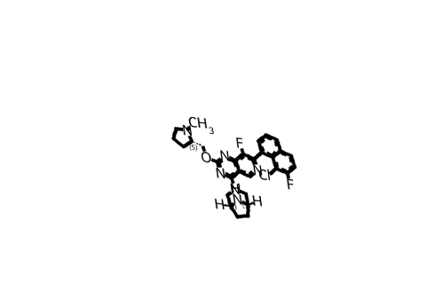 CN1CCC[C@H]1COc1nc(N2C[C@H]3CC[C@@H](C2)N3)c2cnc(-c3cccc4ccc(F)c(Cl)c34)c(F)c2n1